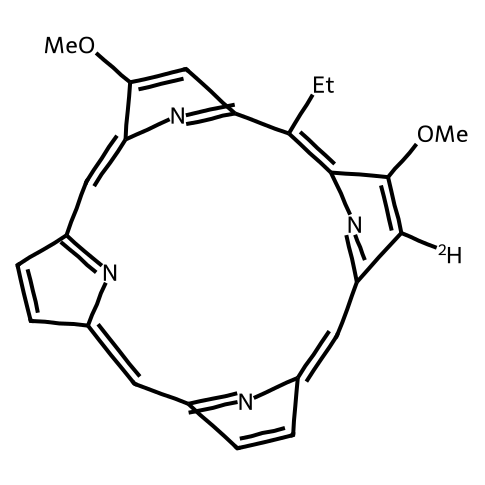 [2H]C1=C(OC)C2=C(CC)C3=NC(=CC4=NC(=CC5=NC(=CC1=N2)C=C5)C=C4)C(OC)=C3